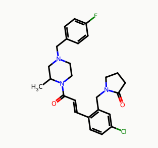 CC1CN(Cc2ccc(F)cc2)CCN1C(=O)C=Cc1ccc(Cl)cc1CN1CCCC1=O